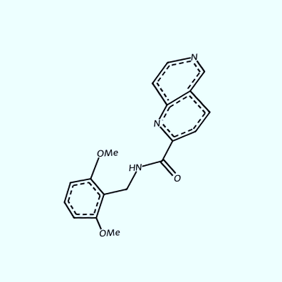 COc1cccc(OC)c1CNC(=O)c1ccc2cnccc2n1